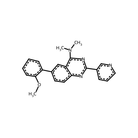 COc1ccccc1-c1ccc2nc(-c3cccnc3)nc(N(C)C)c2c1